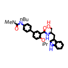 CCCCN(C(=O)NC)c1ccc(-c2ccc(OC(C)C)c(C(=O)N[C@@H](CO)Cc3c[nH]c4ccccc34)c2)cc1